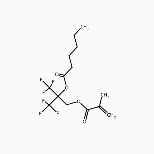 C=C(C)C(=O)OCC(OC(=O)CCCCC)(C(F)(F)F)C(F)(F)F